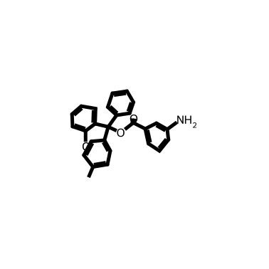 Cc1ccc(C(OC(=O)c2cccc(N)c2)(c2ccccc2)c2ccccc2Cl)cc1